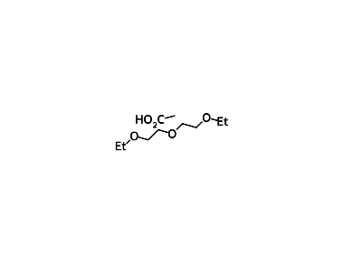 CC(=O)O.CCOCCOCCOCC